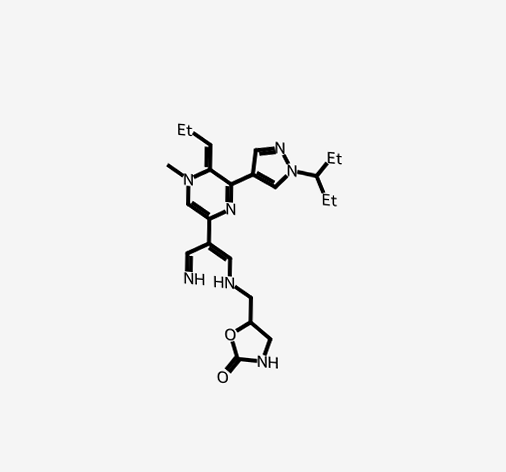 CC/C=C1/C(c2cnn(C(CC)CC)c2)=NC(/C(C=N)=C/NCC2CNC(=O)O2)=CN1C